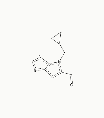 O=Cc1cc2scnc2n1CC1CC1